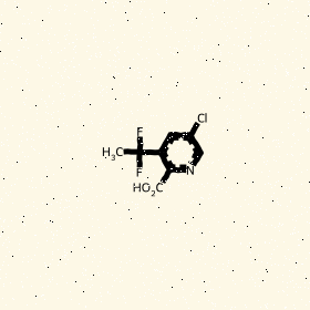 CC(F)(F)c1cc(Cl)cnc1C(=O)O